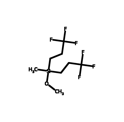 CO[Si](C)(CCC(F)(F)F)CCC(F)(F)F